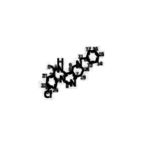 C[C@@H](Nc1ncnc2c1CN(Cc1ccccc1)CC2)c1ccc(Cl)cc1